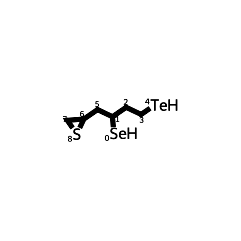 [SeH]C(CC[TeH])CC1CS1